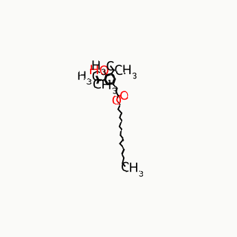 CCCCCCCCCCCCCCCOC(=O)CCc1cc(C(C)C)c(O)c(C(C)C)c1